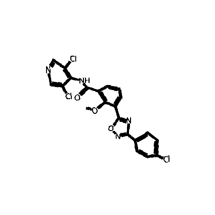 COc1c(C(=O)Nc2c(Cl)cncc2Cl)cccc1-c1nc(-c2ccc(Cl)cc2)no1